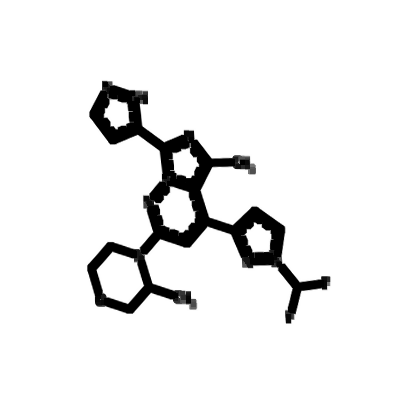 Cc1nc(-c2ccn[nH]2)n2nc(N3CCOCC3C)cc(-c3ccn(C(F)F)n3)c12